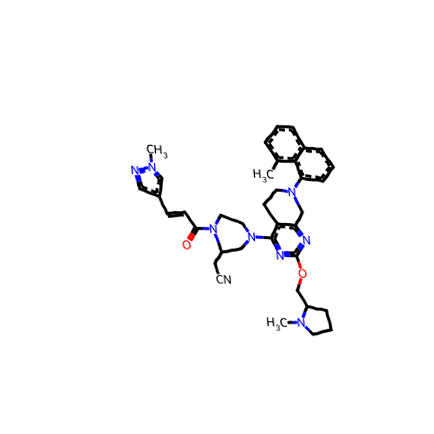 Cc1cccc2cccc(N3CCc4c(nc(OCC5CCCN5C)nc4N4CCN(C(=O)/C=C/c5cnn(C)c5)C(CC#N)C4)C3)c12